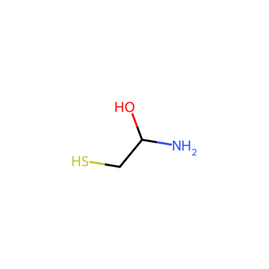 NC(O)CS